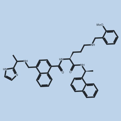 COc1ccccc1CNCCC[C@H](NC(=O)c1ccc(CNC(C)c2ncc[nH]2)c2ccccc12)C(=O)N[C@@H](C)c1cccc2ccccc12